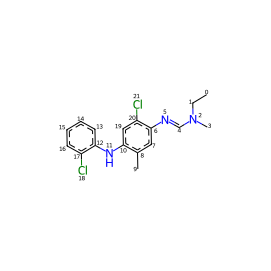 CCN(C)C=Nc1cc(C)c(Nc2ccccc2Cl)cc1Cl